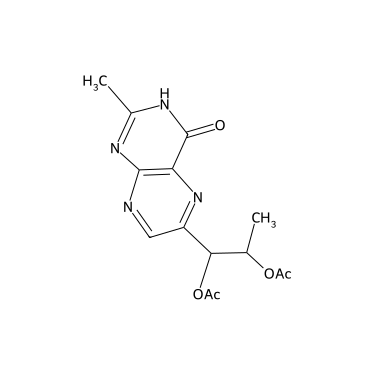 CC(=O)OC(C)C(OC(C)=O)c1cnc2nc(C)[nH]c(=O)c2n1